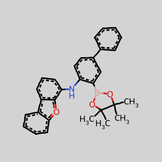 CC1(C)OB(c2cc(-c3ccccc3)ccc2Nc2cccc3c2oc2ccccc23)OC1(C)C